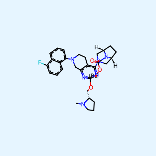 CN1CCC[C@H]1COc1nc2c(c(N3C[C@H]4CC[C@@H](C3)N4C(=O)OC(C)(C)C)n1)CCN(c1cccc3c(F)cccc13)C2